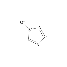 [O-][s+]1cn[c]n1